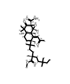 CCC(C)(C)CC[C@@](C)(CCC(C)(C)[C@]1(C)CC[C@H]2C(C)(C)C(=O)[C@]3(C(N)=O)O[C@@H]3[C@]2(C)/C1=C/C(C)=O)C(=O)OC